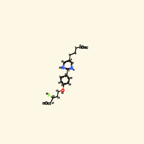 CCCCCCCCCCCCCc1cnc(-c2ccc(OCCC(F)CCCCCCCC)cc2)nc1